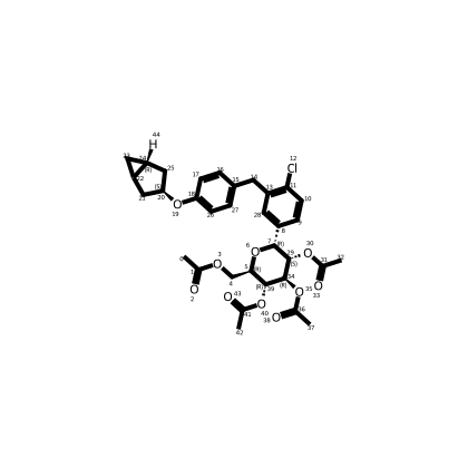 CC(=O)OC[C@H]1O[C@H](c2ccc(Cl)c(Cc3ccc(O[C@H]4CC5C[C@@H]5C4)cc3)c2)[C@H](OC(C)=O)[C@@H](OC(C)=O)[C@@H]1OC(C)=O